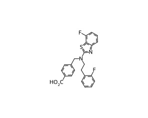 O=C(O)c1ccc(CN(CCc2ccccc2F)c2nc3cccc(F)c3s2)cc1